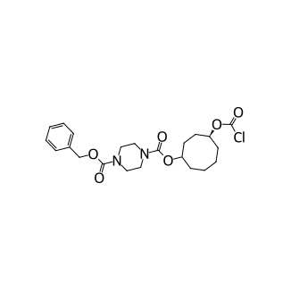 O=C(Cl)O[C@H]1CCCCC(OC(=O)N2CCN(C(=O)OCc3ccccc3)CC2)CC1